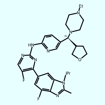 CCN1CCN([C@H](c2ccc(Nc3ncc(F)c(-c4cc(F)c5nc(C)n(C(C)C)c5c4)n3)nc2)C2CCOC2)CC1